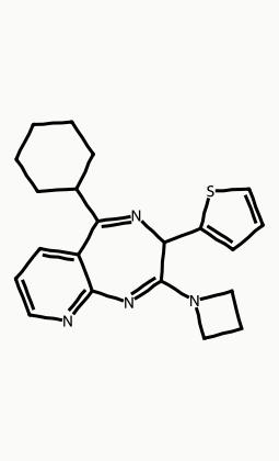 c1csc(C2N=C(C3CCCCC3)c3cccnc3N=C2N2CCC2)c1